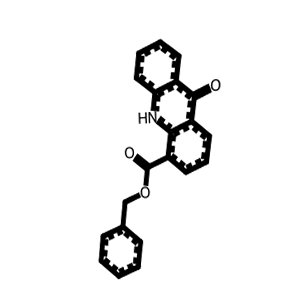 O=C(OCc1ccccc1)c1cccc2c(=O)c3ccccc3[nH]c12